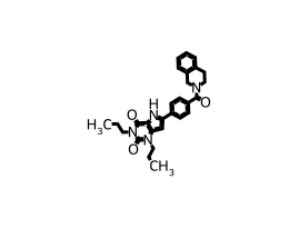 CCCn1c(=O)c2[nH]c(-c3ccc(C(=O)N4CCc5ccccc5C4)cc3)cc2n(CCC)c1=O